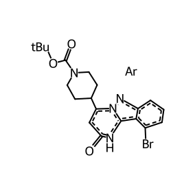 CC(C)(C)OC(=O)N1CCC(c2cc(=O)[nH]c3c4c(Br)cccc4nn23)CC1.[Ar]